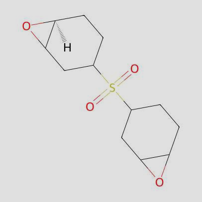 O=S(=O)(C1CCC2OC2C1)C1CC[C@@H]2OC2C1